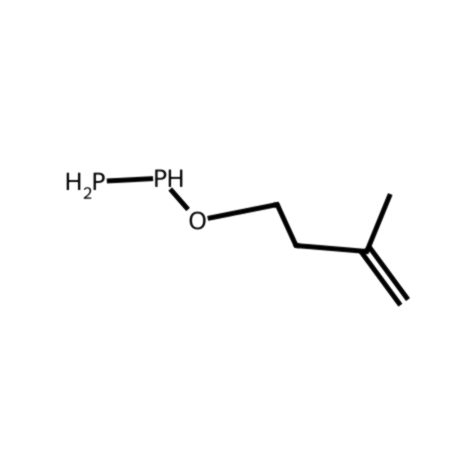 C=C(C)CCOPP